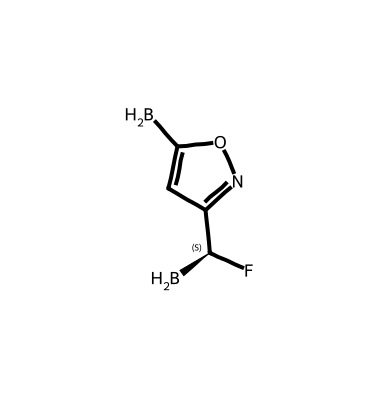 Bc1cc([C@H](B)F)no1